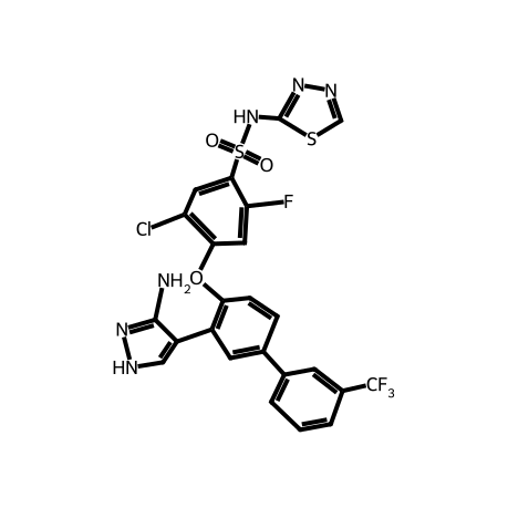 Nc1n[nH]cc1-c1cc(-c2cccc(C(F)(F)F)c2)ccc1Oc1cc(F)c(S(=O)(=O)Nc2nncs2)cc1Cl